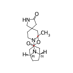 CCOC(=O)N1[C@@H]2CC[C@H]1CC(N1CCC3(CC1)CNC(=O)C3)C2